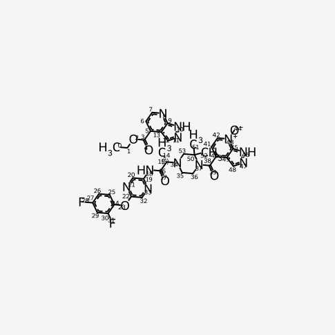 CCOC(=O)c1ccnc2[nH]ncc12.C[C@@H](C(=O)Nc1cnc(Oc2ccc(F)cc2F)cn1)N1CCN(C(=O)c2cc[n+]([O-])c3[nH]ncc23)C(C)(C)C1